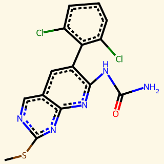 CSc1ncc2cc(-c3c(Cl)cccc3Cl)c(NC(N)=O)nc2n1